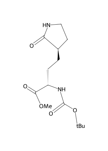 COC(=O)[C@H](CC[C@@H]1CCNC1=O)NC(=O)OC(C)(C)C